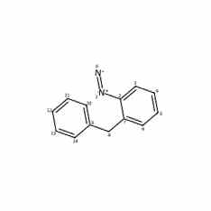 [N-]=[N+]c1ccccc1Cc1ccccc1